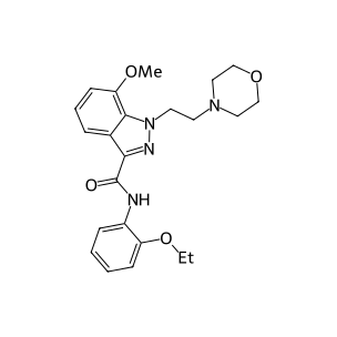 CCOc1ccccc1NC(=O)c1nn(CCN2CCOCC2)c2c(OC)cccc12